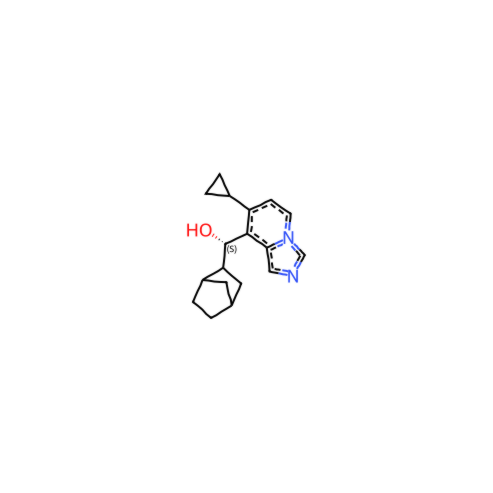 O[C@H](c1c(C2CC2)ccn2cncc12)C1CC2CCC1C2